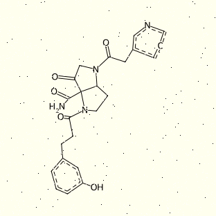 NC(=O)C12C(=O)CN(C(=O)Cc3cccnc3)C1CCN2C(=O)[CH]Cc1cccc(O)c1